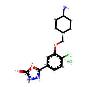 Cl.N[C@H]1CC[C@@H](COc2cc(-c3n[nH]c(=O)o3)ccc2Cl)CC1